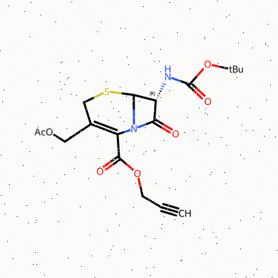 C#CCOC(=O)C1=C(COC(C)=O)CSC2[C@H](NC(=O)OC(C)(C)C)C(=O)N12